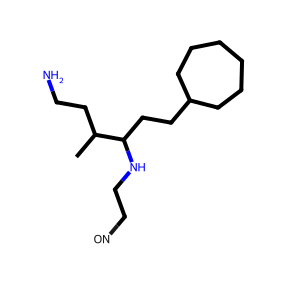 CC(CCN)C(CCC1CCCCCC1)NCCN=O